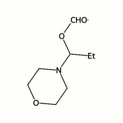 CCC(O[C]=O)N1CCOCC1